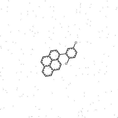 Clc1ccc(Cl)c(-c2ccc3ccc4cccc5ccc2c3c45)c1